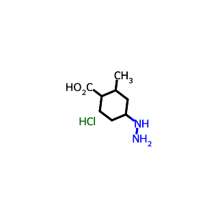 CC1CC(NN)CCC1C(=O)O.Cl